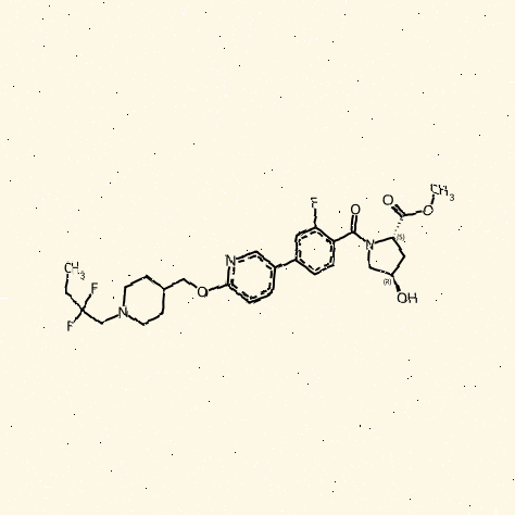 CCC(F)(F)CN1CCC(COc2ccc(-c3ccc(C(=O)N4C[C@H](O)C[C@H]4C(=O)OC)c(F)c3)cn2)CC1